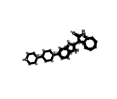 O=c1[nH]c2cccccc-2c1-c1nc2cc(N3CCC(N4CCOCC4)CC3)ccc2[nH]1